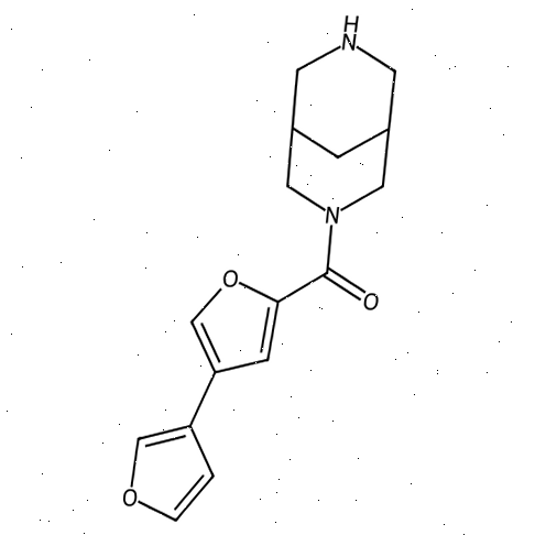 O=C(c1cc(-c2ccoc2)co1)N1CC2CNCC(C2)C1